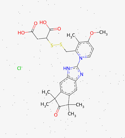 COc1cc[n+](-c2nc3cc4c(cc3[nH]2)C(C)(C)C(=O)C4(C)C)c(CSSC(CC(=O)O)C(=O)O)c1C.[Cl-]